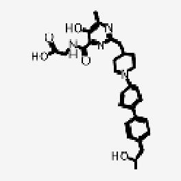 Cc1nc(CC2CCN(c3ccc(-c4ccc(CC(C)O)cc4)cc3)CC2)nc(C(=O)NCC(=O)O)c1O